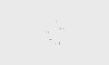 NC(CCC(=O)O)C(=O)O.[Cu]